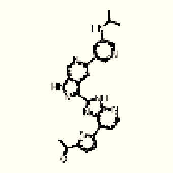 CC(=O)c1ccc(-c2ccnc3[nH]c(-c4n[nH]c5cnc(-c6cncc(NC(C)C)c6)cc45)nc23)s1